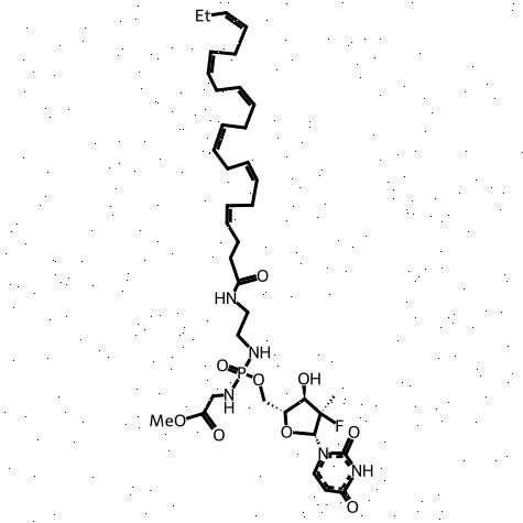 CC/C=C\C/C=C\C/C=C\C/C=C\C/C=C\C/C=C\CCC(=O)NCCNP(=O)(NCC(=O)OC)OC[C@H]1O[C@@H](n2ccc(=O)[nH]c2=O)[C@](C)(F)[C@@H]1O